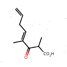 C=CCC=C(C)C(=O)C(C)C(=O)O